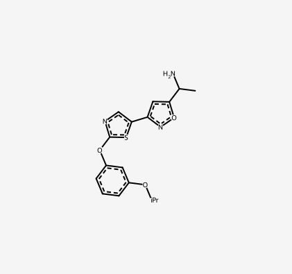 CC(C)Oc1cccc(Oc2ncc(-c3cc(C(C)N)on3)s2)c1